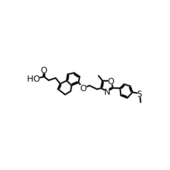 CSc1ccc(-c2nc(CCOc3cccc4c3CCC=C4CCC(=O)O)c(C)o2)cc1